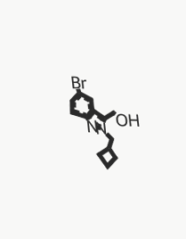 OCc1c2cc(Br)ccc2nn1CC1CCC1